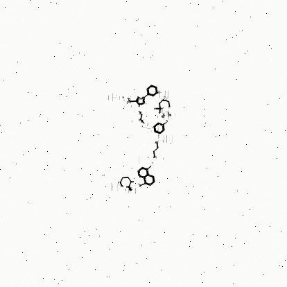 CC(C)(C)OC(=O)COc1c(C(=O)OC(C)(C)C)sc(-c2cccc(N[C@H]3CCN(S(=O)(=O)Cc4cccc(NC(=O)CCC(=O)NCc5ccc6c7c(cccc57)C(=O)N6C5CCC(=O)NC5=O)c4)C(C)(C)C3)c2)c1Cl